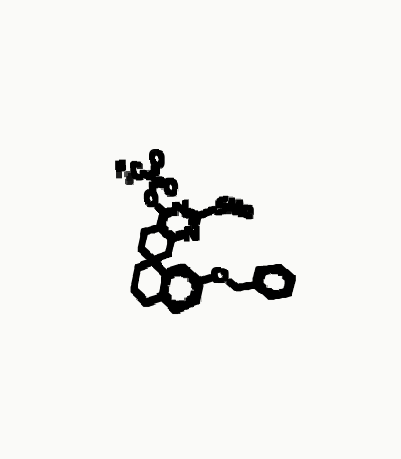 CSc1nc2c(c(OS(=O)(=O)C(F)(F)F)n1)CCC1(CCCc3ccc(OCc4ccccc4)cc31)C2